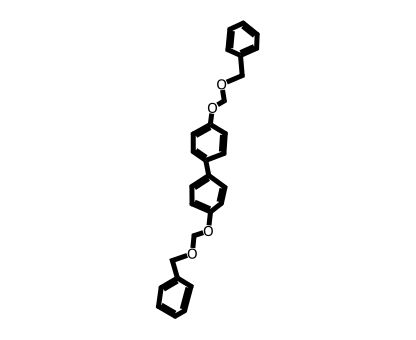 c1ccc(COCOc2ccc(-c3ccc(OCOCc4ccccc4)cc3)cc2)cc1